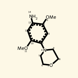 COc1cc(N2CCOCC2)c(OC)cc1N